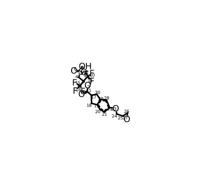 O=C(OC(CS(=O)(=O)O)(C(F)(F)F)C(F)(F)F)C1Cc2ccc(OCC3CO3)cc2C1